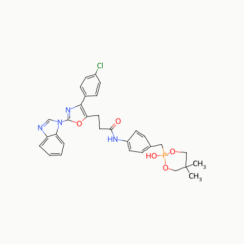 CC1(C)CO[P](O)(Cc2ccc(NC(=O)CCc3oc(-n4cnc5ccccc54)nc3-c3ccc(Cl)cc3)cc2)OC1